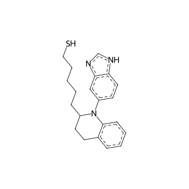 SCCCCCC1CCc2ccccc2N1c1ccc2[nH]cnc2c1